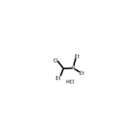 CCC(Cl)N(CC)CC.Cl